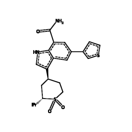 CC(C)[C@@H]1C[C@@H](c2c[nH]c3c(C(N)=O)cc(-c4ccsc4)cc23)CCS1(=O)=O